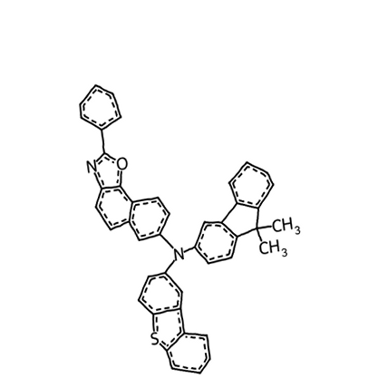 CC1(C)c2ccccc2-c2cc(N(c3ccc4c(ccc5nc(-c6ccccc6)oc54)c3)c3ccc4sc5ccccc5c4c3)ccc21